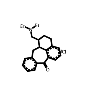 CCN(CC)CC1CCc2cccc3c2C1Cc1ccccc1C3=O.Cl